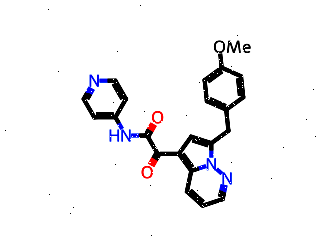 COc1ccc(Cc2cc(C(=O)C(=O)Nc3ccncc3)c3cccnn23)cc1